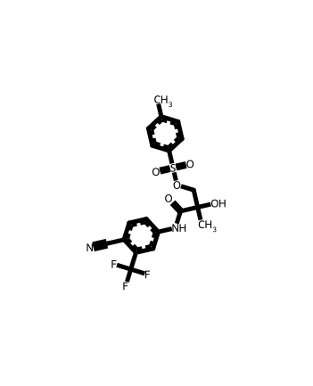 Cc1ccc(S(=O)(=O)OCC(C)(O)C(=O)Nc2ccc(C#N)c(C(F)(F)F)c2)cc1